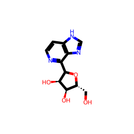 OC[C@H]1OC(c2nccc3[nH]cnc23)[C@H](O)[C@@H]1O